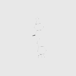 O=C(OCC1CCC2O[C@H]2C1)C1CCC2OC2C1